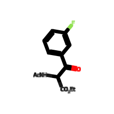 CCOC(=O)C(NC(C)=O)C(=O)c1cccc(F)c1